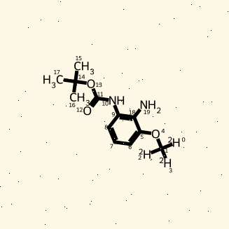 [2H]C([2H])([2H])Oc1cccc(NC(=O)OC(C)(C)C)c1N